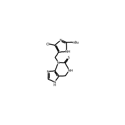 CCCCc1nc(Cl)c(CN2C(=S)NCc3[nH]cnc32)[nH]1